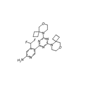 Nc1cc(C(F)F)c(-c2nc(N3CCOCC34CCC4)nc(N3CCOCC34CCC4)n2)cn1